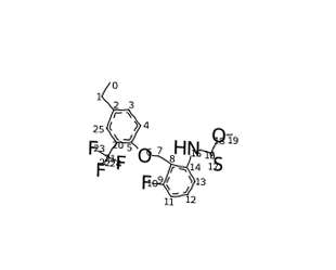 CCc1ccc(OCc2c(F)cccc2NC(=S)OC)c(C(F)(F)F)c1